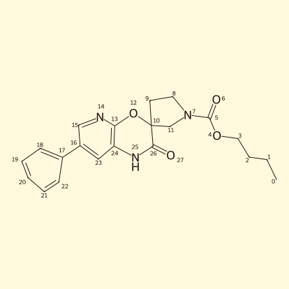 CCCCOC(=O)N1CCC2(C1)Oc1ncc(-c3ccccc3)cc1NC2=O